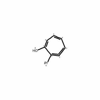 CC(C)C1=C=CC=CC=C1O